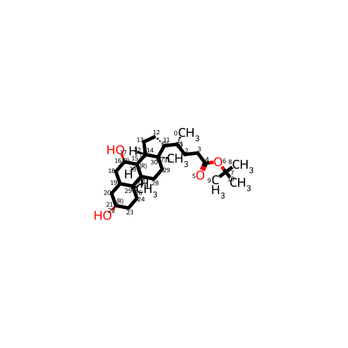 C[C@H](CCC(=O)OC(C)(C)C)[C@H]1CC[C@H]2[C@@H]3[C@H](O)CC4C[C@H](O)CC[C@]4(C)[C@H]3CC[C@]12C